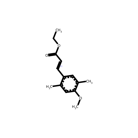 CCOC(=O)/C=C/c1cc(C)c(OC)cc1C